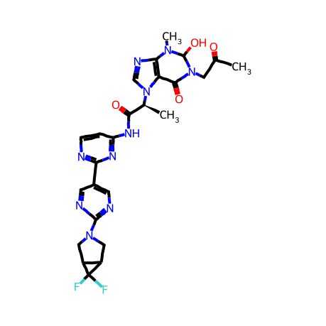 CC(=O)CN1C(=O)c2c(ncn2[C@@H](C)C(=O)Nc2ccnc(-c3cnc(N4CC5C(C4)C5(F)F)nc3)n2)N(C)C1O